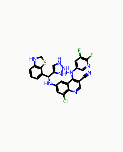 N#Cc1cnc2c(Cl)cc(N[C@H](C3=CNNN3)c3cccc4c3SCN4)cc2c1Nc1cnc(F)c(F)c1